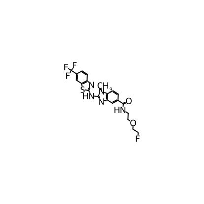 Cn1c(Nc2nc3ccc(C(F)(F)F)cc3s2)nc2cc(C(=O)NCCOCCF)ccc21